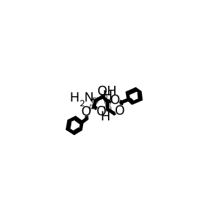 N[C@H]1[C@@H](OCc2ccccc2)O[C@@H]2COC(c3ccccc3)O[C@H]2[C@@H]1O